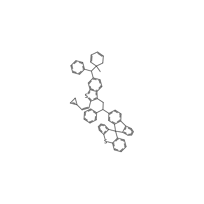 CC1(C(c2ccccc2)c2ccc3c(CC(c4ccccc4)c4ccc5c(c4)C4(c6ccccc6Sc6ccccc64)c4ccccc4-5)c(/C=C\C4=CC4)sc3c2)C=CC=CC1